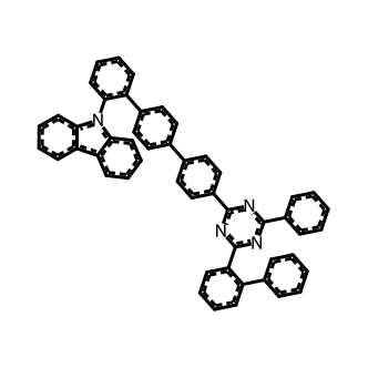 c1ccc(-c2nc(-c3ccc(-c4ccc(-c5ccccc5-n5c6ccccc6c6ccccc65)cc4)cc3)nc(-c3ccccc3-c3ccccc3)n2)cc1